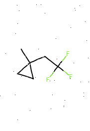 CC1(CC(F)(F)F)CC1